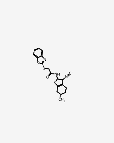 [C-]#[N+]C1C2=C(C[C@H](C)CC2)SC1NC(=O)CSc1nc2ccccc2s1